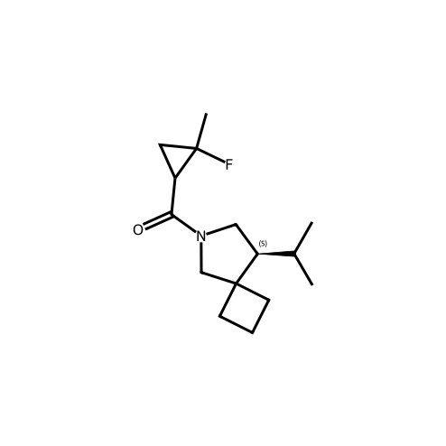 CC(C)[C@@H]1CN(C(=O)C2CC2(C)F)CC12CCC2